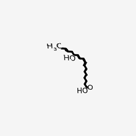 CC/C=C/CC(O)/C=C/C=C\CCCCCCCC(=O)O